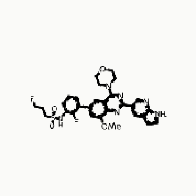 COc1cc(-c2cccc(NS(=O)(=O)CCCF)c2F)cc2c(N3CCOCC3)nc(-c3cnc4[nH]ccc4c3)nc12